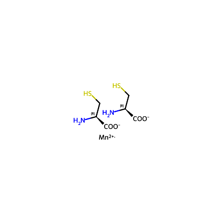 N[C@@H](CS)C(=O)[O-].N[C@@H](CS)C(=O)[O-].[Mn+2]